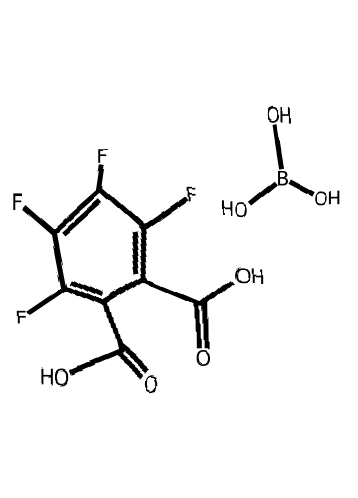 O=C(O)c1c(F)c(F)c(F)c(F)c1C(=O)O.OB(O)O